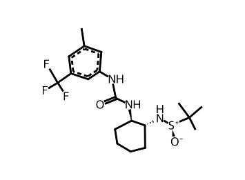 Cc1cc(NC(=O)N[C@@H]2CCCC[C@H]2N[S@+]([O-])C(C)(C)C)cc(C(F)(F)F)c1